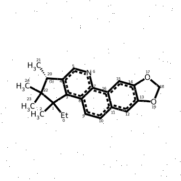 CCC1(C)c2c(cnc3c2ccc2cc4c(cc23)OCO4)[C@@H](C)C1(C)C